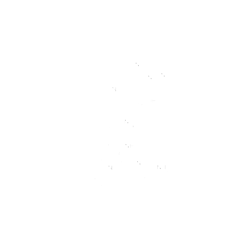 C[C@H](O/N=C(\C(=O)NC1C(=O)N2C(C=O)=C(C[n+]3ccc(Nc4ccnn4CCO)cc3)CSC12)c1nc(N)sc1Cl)C(=O)O